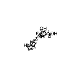 O=C(O)CN1CCN(C(=O)NCCCc2ccc3c(n2)NCCC3)[C@H](CO)C1